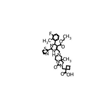 CCOC(=O)C1=C(CN2CCN3C(=O)N(CC4(C(=O)O)CCC4)CC3(C)C2)NC(c2nccs2)=NC1c1cccc(F)c1C